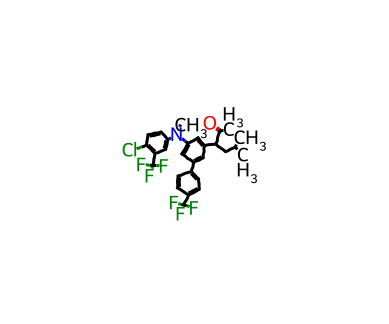 CC(=O)C(CC(C)C)c1cc(-c2ccc(C(F)(F)F)cc2)cc(N(C)c2ccc(Cl)c(C(F)(F)F)c2)c1